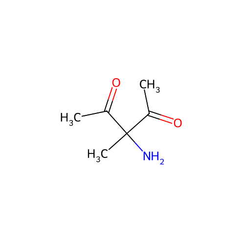 CC(=O)C(C)(N)C(C)=O